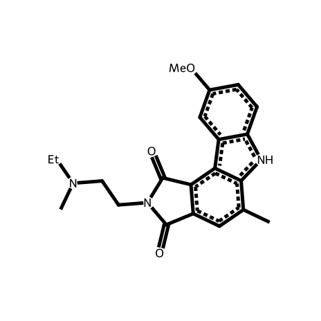 CCN(C)CCN1C(=O)c2cc(C)c3[nH]c4ccc(OC)cc4c3c2C1=O